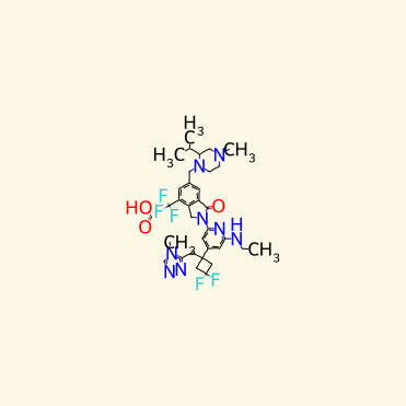 CCNc1cc(C2(Cc3nncn3C)CC(F)(F)C2)cc(N2Cc3c(cc(CN4CCN(C)CC4C(C)C)cc3C(F)(F)F)C2=O)n1.O=CO